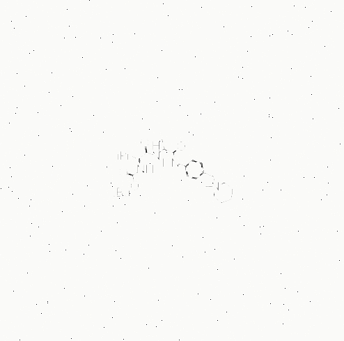 CC(C)[C@H](NC(=O)OC(C)(C)C)C(=O)N[C@@H](C)C(=O)Nc1ccc(C[N+]2(C)CCCCC2)cc1